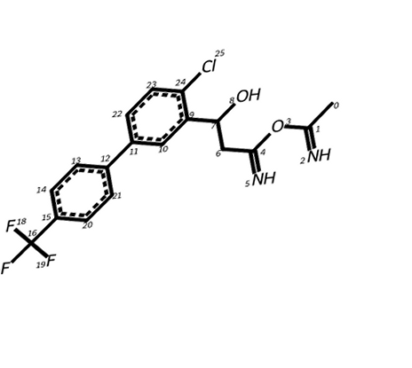 CC(=N)OC(=N)CC(O)c1cc(-c2ccc(C(F)(F)F)cc2)ccc1Cl